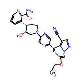 CCOc1cc(-c2cnc(N3CC[C@@H](c4cccnc4C(N)=O)[C@H](O)C3)cn2)c2c(C#N)cnn2c1